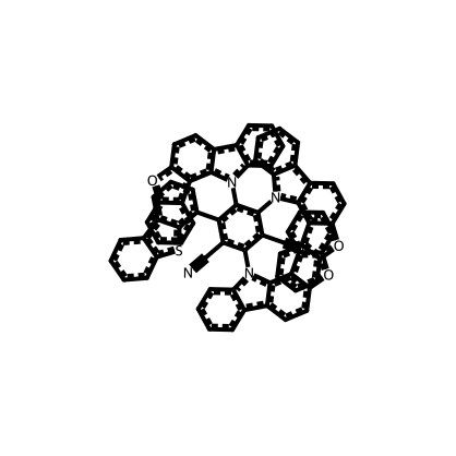 N#Cc1c(-c2cccc3c2sc2ccccc23)c(-n2c3ccccc3c3ccc4oc5ccccc5c4c32)c(-n2c3ccccc3c3ccc4oc5ccccc5c4c32)c(C#N)c1-n1c2ccccc2c2ccc3oc4ccccc4c3c21